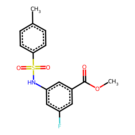 COC(=O)c1cc(F)cc(NS(=O)(=O)c2ccc(C)cc2)c1